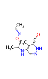 CC=NOCC(C)NC1=C(C(F)(F)F)C(=C=O)NN=C1